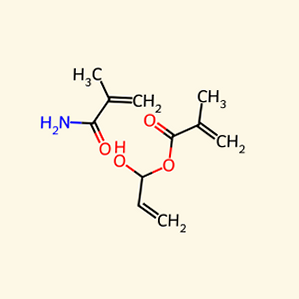 C=C(C)C(N)=O.C=CC(O)OC(=O)C(=C)C